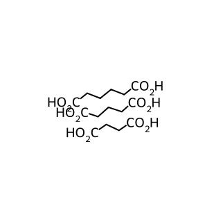 O=C(O)CCC(=O)O.O=C(O)CCCC(=O)O.O=C(O)CCCCC(=O)O